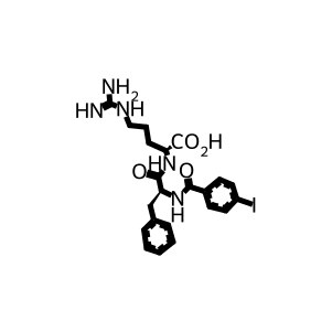 N=C(N)NCCC[C@H](NC(=O)[C@H](Cc1ccccc1)NC(=O)c1ccc(I)cc1)C(=O)O